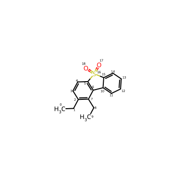 CCc1ccc2c(c1CC)-c1ccccc1S2(=O)=O